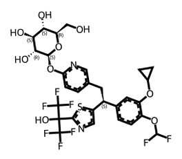 OC[C@H]1O[C@@H](Oc2ccc(C[C@@H](c3ccc(OC(F)F)c(OC4CC4)c3)c3cnc(C(O)(C(F)(F)F)C(F)(F)F)s3)cn2)[C@H](O)[C@@H](O)[C@@H]1O